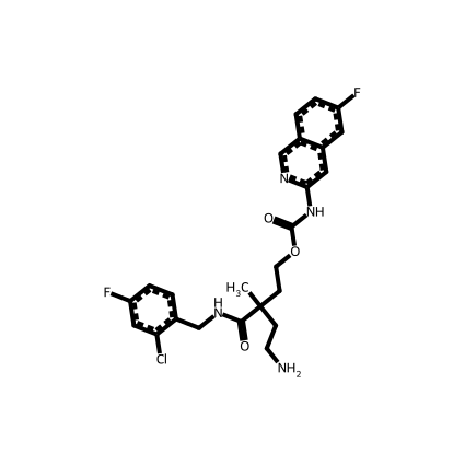 CC(CCN)(CCOC(=O)Nc1cc2cc(F)ccc2cn1)C(=O)NCc1ccc(F)cc1Cl